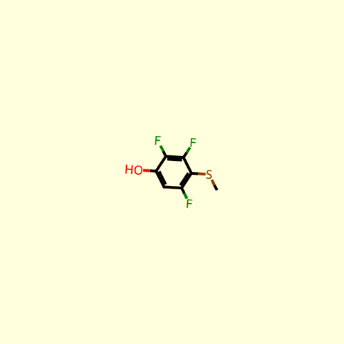 CSc1c(F)cc(O)c(F)c1F